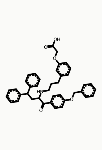 O=C(O)COc1cccc(CCCNC(CC(c2ccccc2)c2ccccc2)C(=O)c2ccc(OCc3ccccc3)cc2)c1